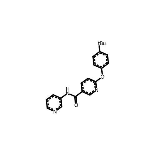 CC(C)(C)c1ccc(Oc2ccc(C(=O)Nc3cccnc3)cn2)cc1